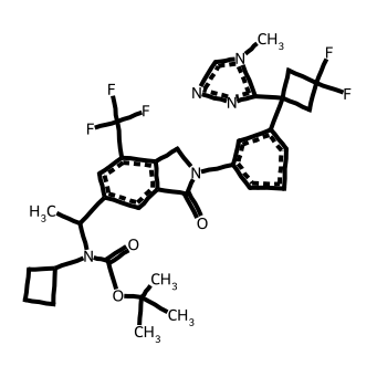 CC(c1cc2c(c(C(F)(F)F)c1)CN(c1cccc(C3(c4nncn4C)CC(F)(F)C3)c1)C2=O)N(C(=O)OC(C)(C)C)C1CCC1